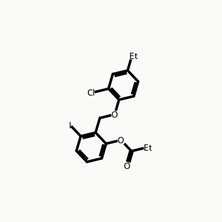 CCC(=O)Oc1cccc(I)c1COc1ccc(CC)cc1Cl